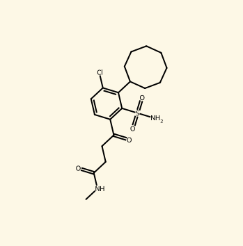 CNC(=O)CCC(=O)c1ccc(Cl)c(C2CCCCCCC2)c1S(N)(=O)=O